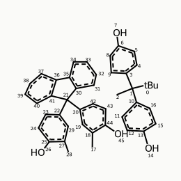 CC(C)(C)C(C)(c1ccc(O)cc1)c1ccc(O)cc1.Cc1cc(C2(c3ccc(O)c(C)c3)c3ccccc3-c3ccccc32)ccc1O